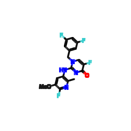 COc1cc(Nc2nc(=O)c(F)cn2Cc2cc(F)cc(F)c2)c(C)nc1F